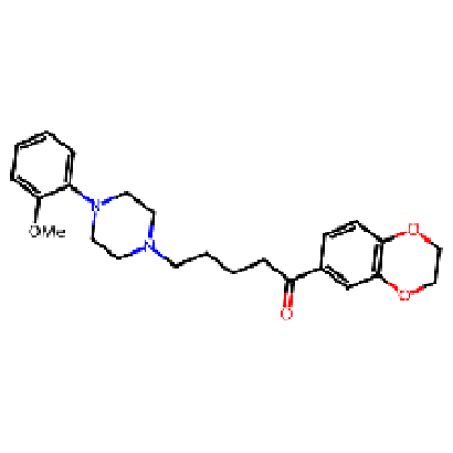 COc1ccccc1N1CCN(CCCCC(=O)c2ccc3c(c2)OCCO3)CC1